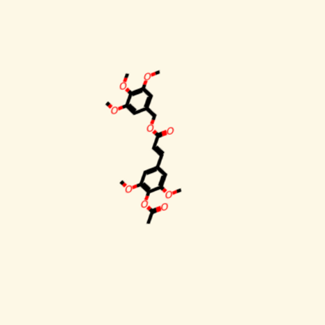 COc1cc(COC(=O)/C=C/c2cc(OC)c(OC(C)=O)c(OC)c2)cc(OC)c1OC